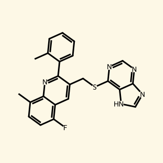 Cc1ccccc1-c1nc2c(C)ccc(F)c2cc1CSc1ncnc2nc[nH]c12